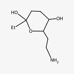 CCC1(O)CCC(O)C(CCN)O1